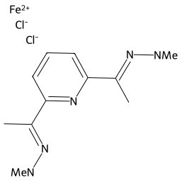 CNN=C(C)c1cccc(C(C)=NNC)n1.[Cl-].[Cl-].[Fe+2]